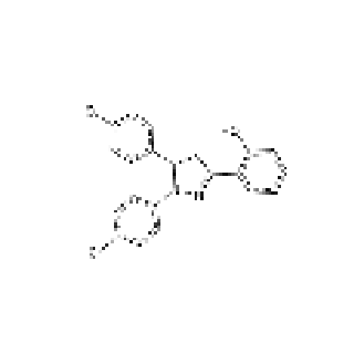 Oc1ccc(C2CC(c3ccccc3O)=NN2c2ccc(Cl)cc2)cc1